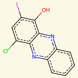 Oc1c(I)cc(Cl)c2nc3ccccc3nc12